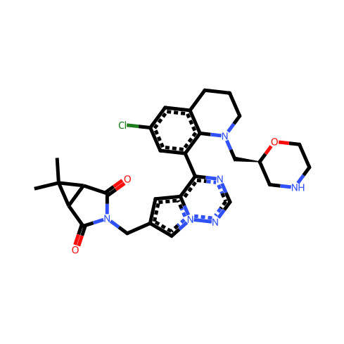 CC1(C)C2C(=O)N(Cc3cc4c(-c5cc(Cl)cc6c5N(C[C@@H]5CNCCO5)CCC6)ncnn4c3)C(=O)C21